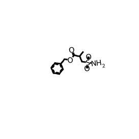 CC(CS(N)(=O)=O)C(=O)OCc1ccccc1